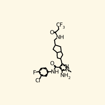 Cn1nc(C2CC3CC(CNC(=O)CC(F)(F)F)CC3C2)c(C(=O)Nc2ccc(F)c(Cl)c2)c1N